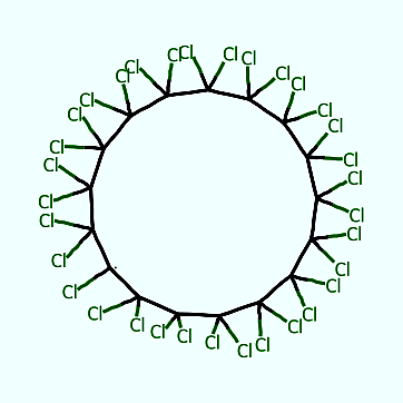 Cl[C]1C(Cl)(Cl)C(Cl)(Cl)C(Cl)(Cl)C(Cl)(Cl)C(Cl)(Cl)C(Cl)(Cl)C(Cl)(Cl)C(Cl)(Cl)C(Cl)(Cl)C(Cl)(Cl)C(Cl)(Cl)C(Cl)(Cl)C(Cl)(Cl)C(Cl)(Cl)C(Cl)(Cl)C1(Cl)Cl